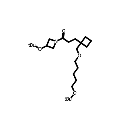 CC(C)(C)OCCCCCOCC1(CCC(=O)N2CC(OC(C)(C)C)C2)CCC1